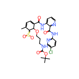 CC1=CC=C(C(=O)Nc2cccnc2C(=O)Nc2ccc(Cl)cn2)C(OCCCNC(=O)OC(C)(C)C)C1=S(=O)=O